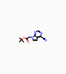 CC(C)(C)OC(=O)Cn1ccc2c(C#N)ncnc21